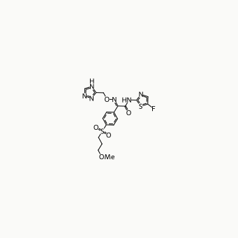 COCCCS(=O)(=O)c1ccc(/C(=N\OCc2nnc[nH]2)C(=O)Nc2ncc(F)s2)cc1